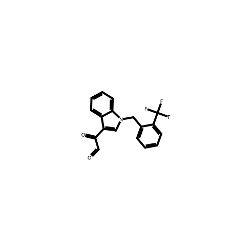 O=CC(=O)c1cn(Cc2ccccc2C(F)(F)F)c2ccccc12